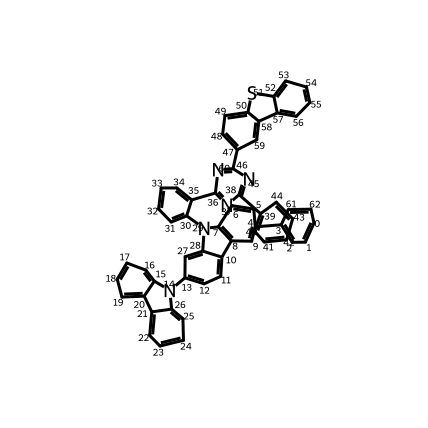 c1ccc(-c2ccc3c(c2)c2ccc(-n4c5ccccc5c5ccccc54)cc2n3-c2ccccc2-c2nc(-c3ccccc3)nc(-c3ccc4sc5ccccc5c4c3)n2)cc1